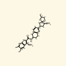 Cc1nc2sc(C(=O)NC3CCc4nc(N5CC(N)C6(C5)OCC(C)O6)ccc4C3)c(N)c2cc1F